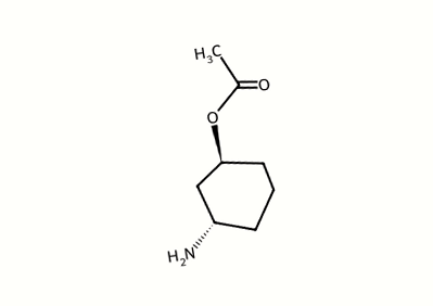 CC(=O)O[C@H]1CCC[C@H](N)C1